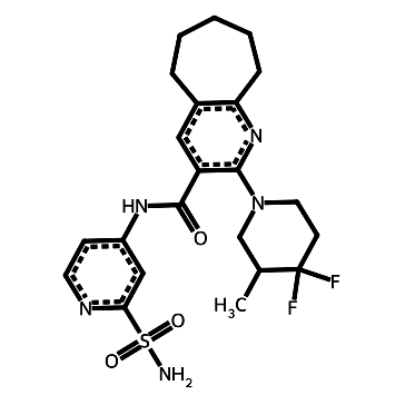 CC1CN(c2nc3c(cc2C(=O)Nc2ccnc(S(N)(=O)=O)c2)CCCCC3)CCC1(F)F